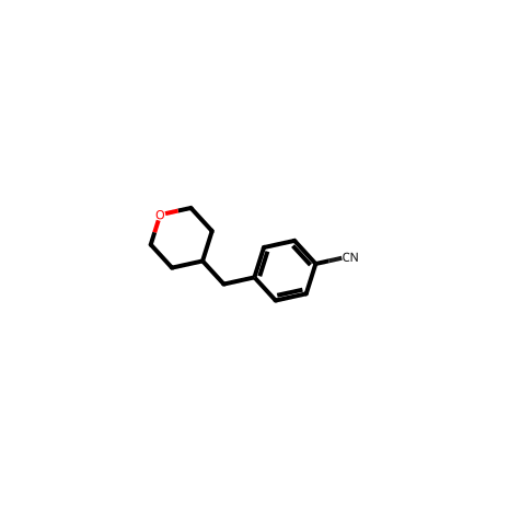 N#Cc1ccc(CC2CCOCC2)cc1